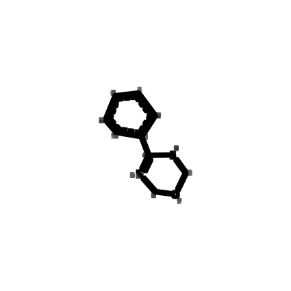 c1ccc(C2=NCOCS2)cc1